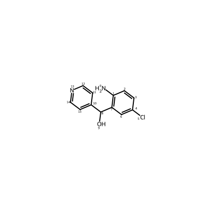 Nc1ccc(Cl)cc1C(O)c1ccncc1